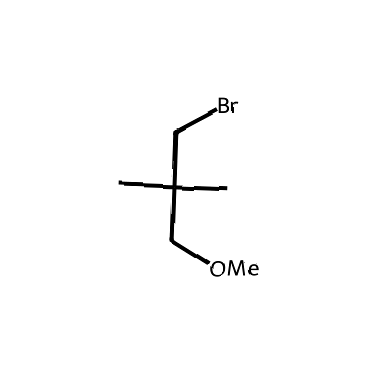 COCC(C)(C)CBr